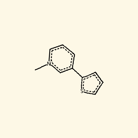 C[n+]1cccc(-c2cccs2)c1